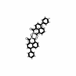 O=C1c2cccc3c(-c4ccccc4)ccc(c23)C(=O)N1ON1C(=O)c2cccc3c(-c4ccccc4)ccc(c23)C1=O